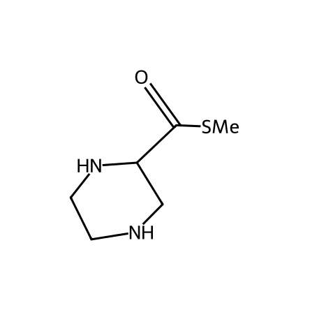 CSC(=O)C1CNCCN1